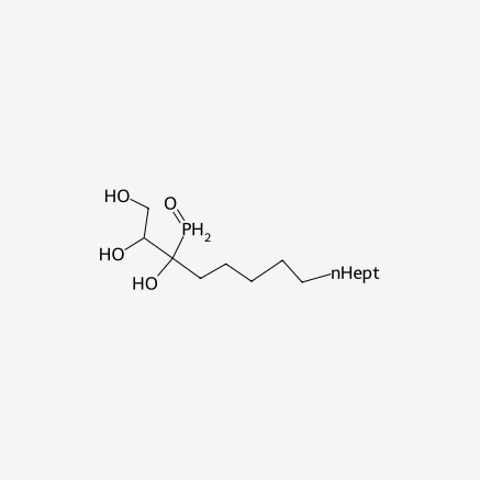 CCCCCCCCCCCCC(O)([PH2]=O)C(O)CO